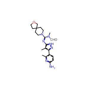 Cc1nc(N)ccc1-c1n[nH]c(/N=C(\N(C)C=O)N2CCC3(CCOC3)CC2)c1C